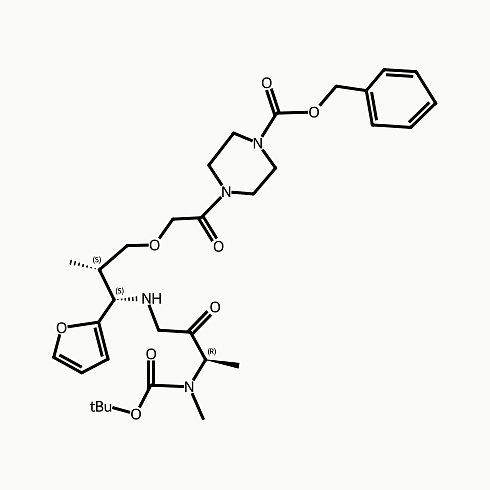 C[C@H](COCC(=O)N1CCN(C(=O)OCc2ccccc2)CC1)[C@H](NCC(=O)[C@@H](C)N(C)C(=O)OC(C)(C)C)c1ccco1